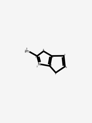 CC(C)C1=NC2=C(C=CC2)C1